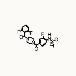 O=C(c1ccc(N[SH](=O)=O)c(F)c1)N1CCN(C(=O)c2c(F)cccc2F)CC1